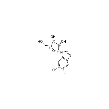 OC[C@@H]1O[C@@H](n2cnc3cc(Cl)c(Cl)cc32)[C@H](O)[C@H]1O